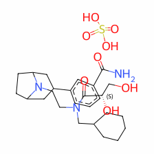 NC(=O)c1cccc(C2CC3CCC(C2)N3CCN(CC2CCCCC2)C(=O)[C@@H](O)CO)c1.O=S(=O)(O)O